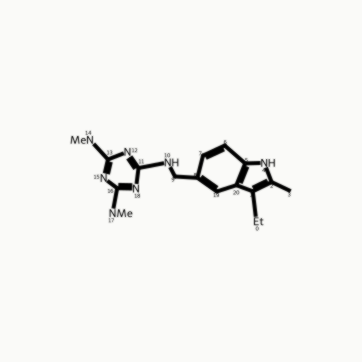 CCc1c(C)[nH]c2ccc(CNc3nc(NC)nc(NC)n3)cc12